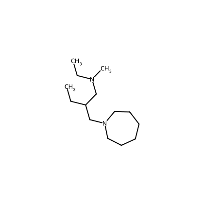 CCC(CN(C)CC)CN1CCCCCC1